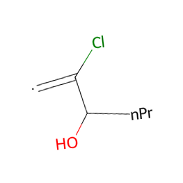 [CH]=C(Cl)C(O)CCC